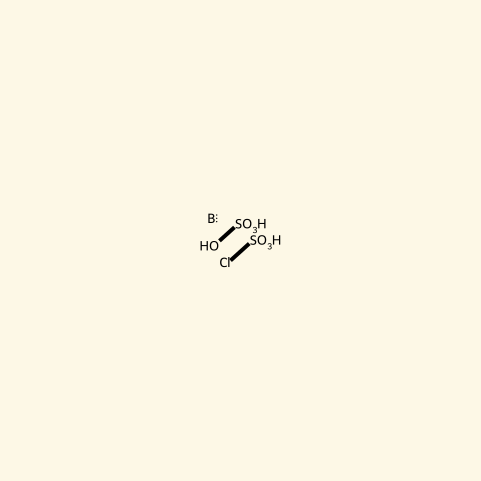 O=S(=O)(O)Cl.O=S(=O)(O)O.[B]